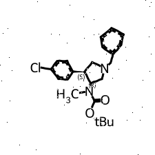 CN(C(=O)OC(C)(C)C)[C@H]1CN(Cc2ccccc2)C[C@@H]1c1ccc(Cl)cc1